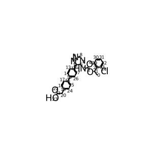 CC(OC(=O)Nc1ncnnc1-c1ccc(-c2ccc(CC(=O)O)cc2)cc1)c1ccccc1Cl